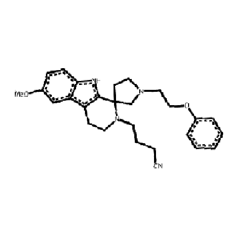 COc1ccc2[nH]c3c(c2c1)CCN(CCCC#N)C31CCN(CCOc2ccccc2)C1